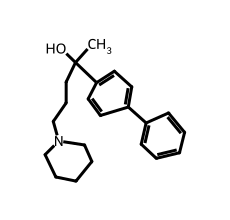 CC(O)(CCCN1CCCCC1)c1ccc(-c2ccccc2)cc1